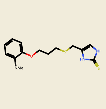 CNc1ccccc1OCCCSCc1c[nH]c(=S)[nH]1